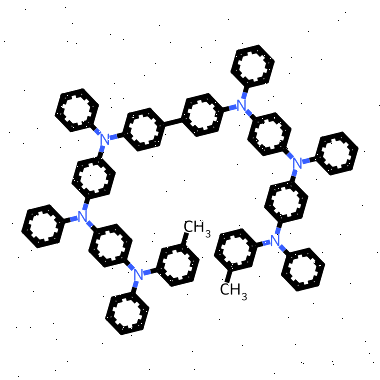 Cc1cccc(N(c2ccccc2)c2ccc(N(c3ccccc3)c3ccc(N(c4ccccc4)c4ccc(-c5ccc(N(c6ccccc6)c6ccc(N(c7ccccc7)c7ccc(N(c8ccccc8)c8cccc(C)c8)cc7)cc6)cc5)cc4)cc3)cc2)c1